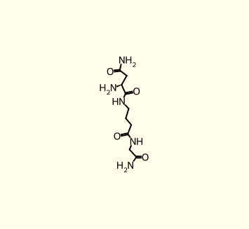 NC(=O)CNC(=O)CCCNC(=O)[C@@H](N)CC(N)=O